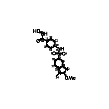 COc1nc2cc(S(=O)(=O)Nc3ccc(C(=O)NO)cc3)ccc2n1C